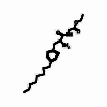 CCCCCCCCc1ccc(CN(N)C(=O)NCC(=O)OCC)cc1